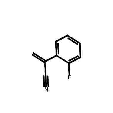 C=C(C#N)c1ccccc1F